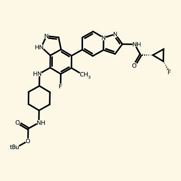 Cc1c(F)c(NC2CCC(NC(=O)OC(C)(C)C)CC2)c2[nH]ncc2c1-c1ccn2nc(NC(=O)[C@@H]3C[C@@H]3F)cc2c1